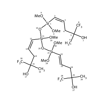 CO[Si](/C=C\CC(C)(O)C(F)(F)F)(OC)O[Si](/C=C\CC(C)(O)C(F)(F)F)(OC)O[Si](/C=C/CC(C)(O)C(F)(F)F)(OC)OC